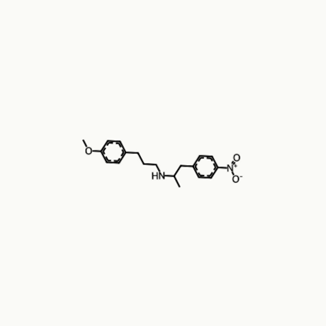 COc1ccc(CCCNC(C)Cc2ccc([N+](=O)[O-])cc2)cc1